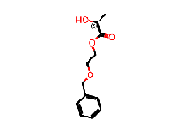 C[C@H](O)C(=O)OCCOCc1ccccc1